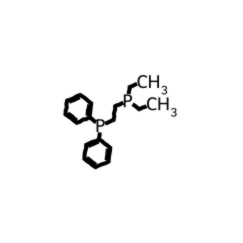 CCP(CC)CCP(c1ccccc1)c1ccccc1